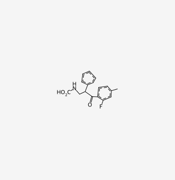 Cc1ccc(C(=O)C(CNC(=O)O)c2ccccc2)c(F)c1